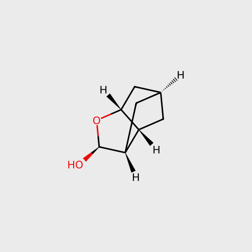 O[C@H]1O[C@@H]2C[C@@H]3C[C@@H]1[C@H]2C3